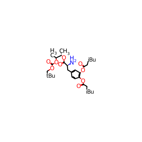 CCC(C)CC(=O)Oc1ccc(C[C@H](N)C(=O)O[C@@H](C)C(C)OC(=O)OCC(C)(C)C)cc1OC(=O)CC(C)CC